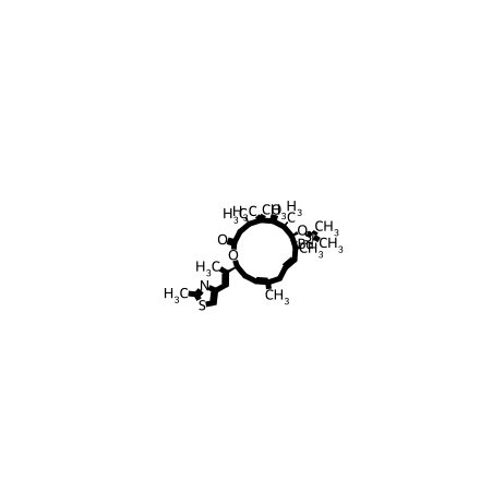 C/C1=C/C[C@@H](/C(C)=C/c2csc(C)n2)OC(=O)C[C@H](C)C(C)(C)C(=O)[C@H](C)[C@@H](O[Si](C)(C)C(C)(C)C)[C@@H](C)/C=C/C1